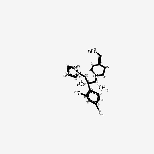 CCCC=C1CCN([C@H](C)[C@](O)(Cn2cncn2)c2ccc(F)cc2F)CC1